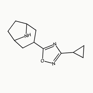 C1CC2CC(c3nc(C4CC4)no3)CC1N2